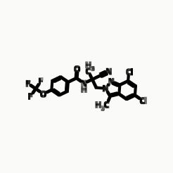 Cc1c2cc(Cl)cc(Cl)c2nn1CC(C)(C#N)NC(=O)c1ccc(OC(F)(F)F)cc1